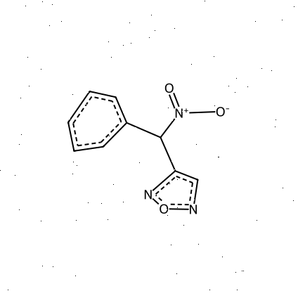 O=[N+]([O-])C(c1ccccc1)c1cnon1